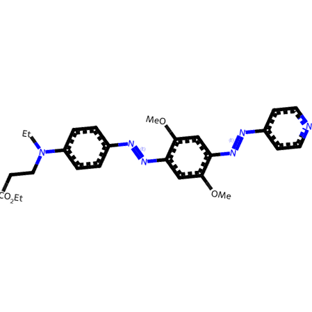 CCOC(=O)CCN(CC)c1ccc(/N=N/c2cc(OC)c(/N=N/c3ccncc3)cc2OC)cc1